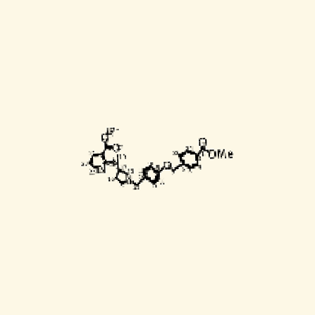 COC(=O)c1ccc(COc2ccc(CN3CC[C@@H](N(C)c4ncccc4C(=O)OC(C)C)C3)cc2)cc1